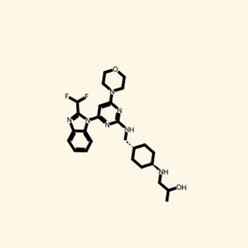 CC(O)CN[C@H]1CC[C@H](CNc2nc(N3CCOCC3)cc(-n3c(C(F)F)nc4ccccc43)n2)CC1